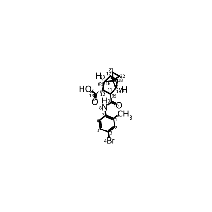 Cc1cc(Br)ccc1NC(=O)[C@H]1[C@H](C(=O)O)[C@H]2C=C[C@@H]1C21CC1